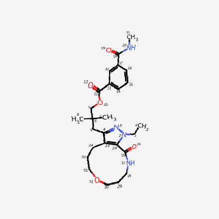 CCn1nc(CC(C)(C)COC(=O)c2cccc(C(=O)NC)c2)c2c1C(=O)NCCCOCCC2